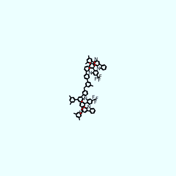 Cc1cc(C)cc(-c2ccc3c(c2)c2ccccc2n3-c2cc(C(F)(F)F)cc(-n3c4ccc(Cc5cc(C)cc(-c6ccc7c8ccccc8n(-c8cc(C(F)(F)F)cc(-n9c%10ccccc%10c%10ccc(-c%11cc(C)cc(C)c%11)cc%109)c8-c8cccc(C#N)c8)c7c6)c5)cc4c4cc(-c5cc(C)cc(C)c5)ccc43)c2-c2cccc(C#N)c2)c1